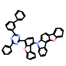 c1ccc(-c2cccc(-c3nc(-c4ccccc4)nc(-c4ccc(-n5c6ccccc6c6c7oc8ccccc8c7ccc65)c5c4oc4ccccc45)n3)c2)cc1